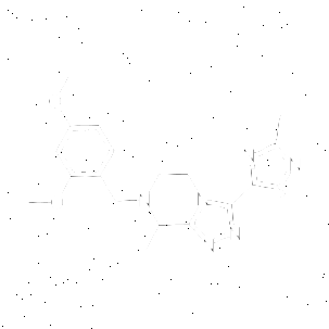 COc1ccc(CN2CCn3c(-c4nc(C)ns4)nnc3C2C)c(OC)c1